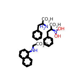 NC(Cc1ccccc1)C(=O)O.O=C(O)C(Cc1ccccc1)N(O)O.O=C(O)CNc1cccc2ccccc12